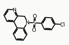 O=S(=O)(c1ccc(Cl)cc1)N1Cc2ncccc2-c2ccccc21